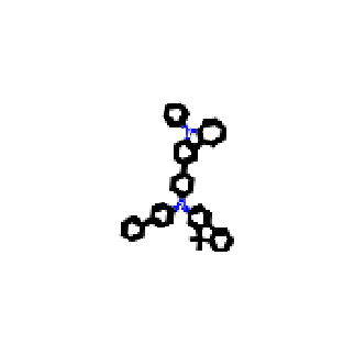 CC1(C)c2ccccc2-c2ccc(N(c3ccc(-c4ccccc4)cc3)c3ccc(-c4ccc5c(c4)c4c(n5-c5ccccc5)C=CCC=C4)cc3)cc21